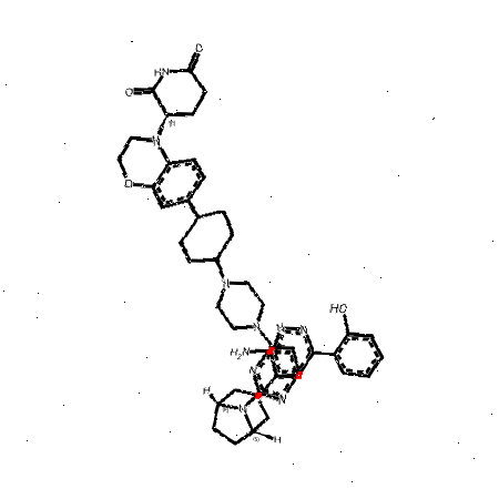 Nc1nnc(-c2ccccc2O)cc1N1C[C@H]2CC[C@@H](C1)N2c1nccc(N2CCN(C3CCC(c4ccc5c(c4)OCCN5[C@@H]4CCC(=O)NC4=O)CC3)CC2)n1